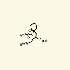 CCCC(C)CCC(CC1(OP(=O)(O)O)CCCCC1)C(C)CCC